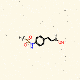 CS(=O)(=O)Nc1ccc(/C=C/BO)cc1